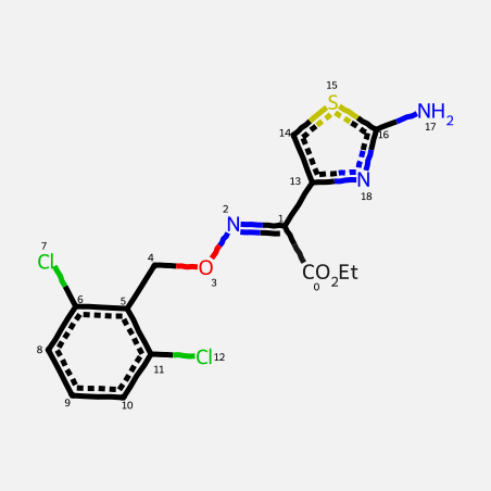 CCOC(=O)/C(=N\OCc1c(Cl)cccc1Cl)c1csc(N)n1